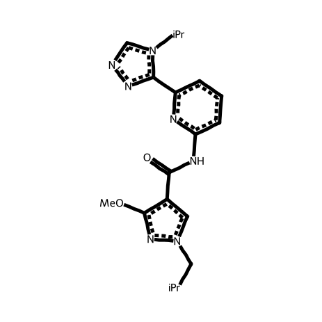 COc1nn(CC(C)C)cc1C(=O)Nc1cccc(-c2nncn2C(C)C)n1